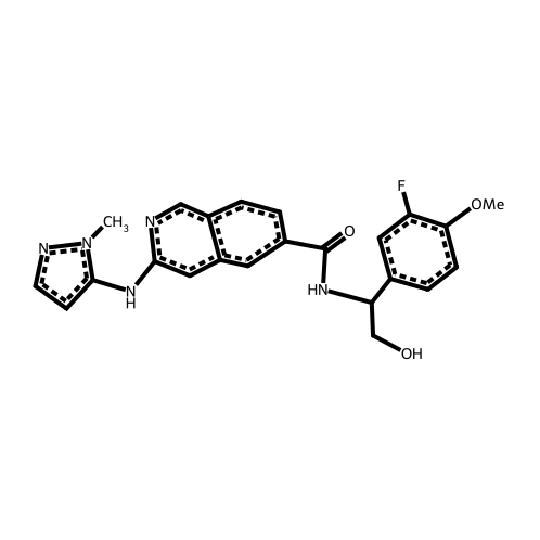 COc1ccc(C(CO)NC(=O)c2ccc3cnc(Nc4ccnn4C)cc3c2)cc1F